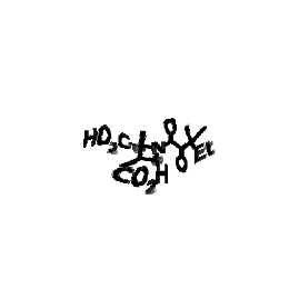 CCC(C)(C)C(=O)C(=O)N1[C@@H](C(=O)O)C(C)[C@]1(C)C(=O)O